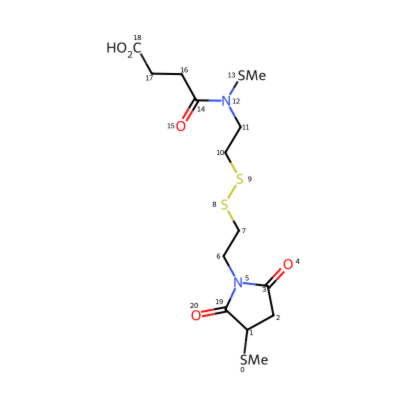 CSC1CC(=O)N(CCSSCCN(SC)C(=O)CCC(=O)O)C1=O